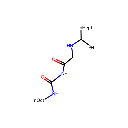 [2H]C(CCCCCCC)NCC(=O)NC(=O)NCCCCCCCC